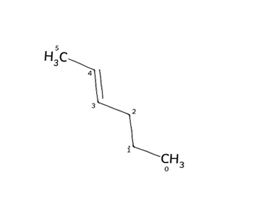 C[CH]C/C=C/C